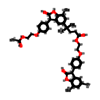 CCCC(=O)OCCOc1ccc(C2C(=O)Oc3c2cc(C(C)(C)CCC(=O)OCCOc2ccc(C4C(=O)Oc5c4cc(C(C)C)cc5C(C)(C)C)cc2)cc3C(C)(C)C)cc1